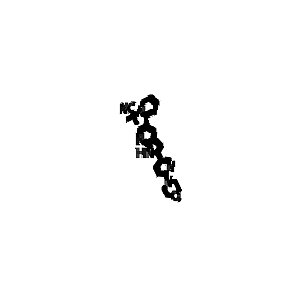 CC(C)(C#N)N1CC=CC=C1c1cnc2[nH]c(-c3ccc(N4CCOCC4)nc3)cc2c1